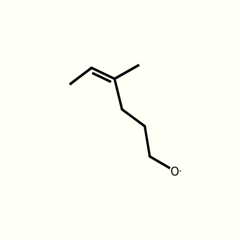 CC=C(C)CCC[O]